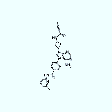 CC#CC(=O)NC1CC(n2nc(-c3ccc(C(=O)Nc4cccc(C)n4)cc3)c3c(N)ncnc32)C1